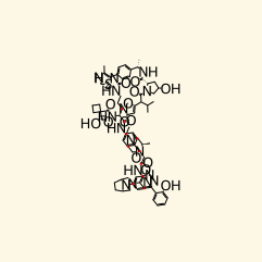 Cc1ncsc1-c1ccc([C@H](C)NC(=O)[C@@H]2C[C@@H](O)CN2C(=O)C(c2cc(OCCN3CCN(CCOc4cc(N5C6CCC5CN(c5cc(-c7ccccc7O)nnc5NC(=O)OCc5ccc(NC(=O)[C@H](CCCNC(N)=O)NC(=O)C7(C(=O)O)CCC7)cc5)C6)ccn4)[C@H](C)C3)no2)C(C)C)cc1